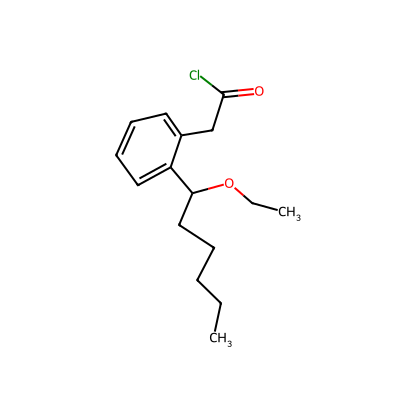 CCCCCC(OCC)c1ccccc1CC(=O)Cl